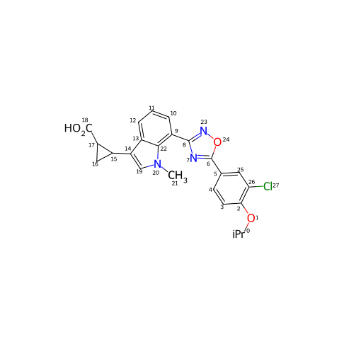 CC(C)Oc1ccc(-c2nc(-c3cccc4c(C5CC5C(=O)O)cn(C)c34)no2)cc1Cl